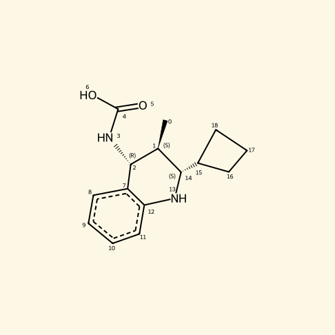 C[C@@H]1[C@@H](NC(=O)O)c2ccccc2N[C@H]1C1CCC1